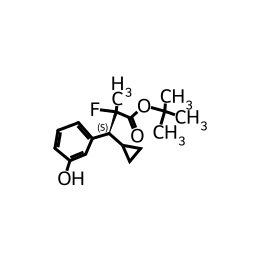 CC(C)(C)OC(=O)C(C)(F)[C@H](c1cccc(O)c1)C1CC1